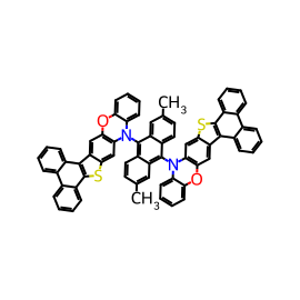 Cc1ccc2c(N3c4ccccc4Oc4cc5c(cc43)sc3c4ccccc4c4ccccc4c53)c3cc(C)ccc3c(N3c4ccccc4Oc4cc5c(cc43)sc3c4ccccc4c4ccccc4c53)c2c1